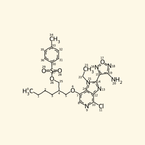 CCCCC(COc1cnc(Cl)c2nc(-c3nonc3N)n(CC)c12)COS(=O)(=O)c1ccc(C)cc1